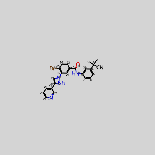 CC(C)(C#N)c1cccc(NC(=O)c2ccc(Br)c(-n3cc(-c4cccnc4)[nH]3)c2)c1